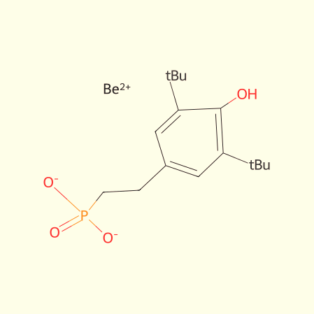 CC(C)(C)c1cc(CCP(=O)([O-])[O-])cc(C(C)(C)C)c1O.[Be+2]